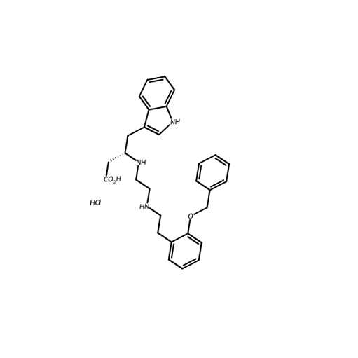 Cl.O=C(O)C[C@H](Cc1c[nH]c2ccccc12)NCCNCCc1ccccc1OCc1ccccc1